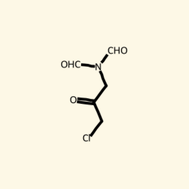 O=CN(C=O)CC(=O)CCl